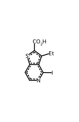 CCc1c(C(=O)O)sc2ccnc(I)c12